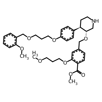 COCCCOc1cc(CO[C@H]2CNCC[C@@H]2c2ccc(OCCCOCc3ccccc3OC)cc2)ccc1C(=O)OC